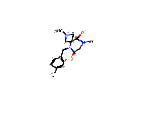 CC(C)N1CC(=O)N(Cc2ccc(C(F)(F)F)cc2)C2(CN(C=O)C2)C1=O